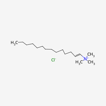 CCCCCCCCCCCCC=C[N+](C)(C)C.[Cl-]